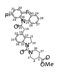 COC(=O)C1CCN(C(=O)N2CCc3c(CC(=O)N(c4cccc(F)c4)c4ccccc4F)cccc32)CC1